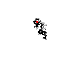 C[N+](Cc1ccccc1C(F)(F)F)(C(=O)CNc1cccc2c1CCN(CC1CC1)C2)C1COCCO1